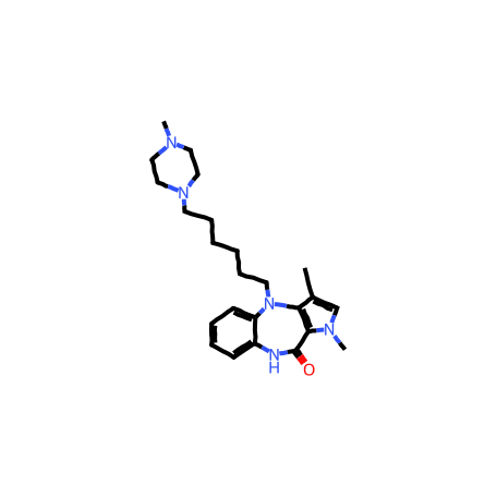 Cc1cn(C)c2c1N(CCCCCCN1CCN(C)CC1)c1ccccc1NC2=O